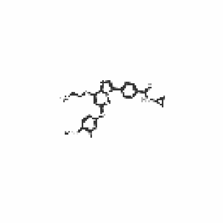 COc1ccc(Oc2cc(NCCC(F)(F)F)c3ncc(-c4ccc(C(=O)NC5CC5)cc4)n3n2)cc1F